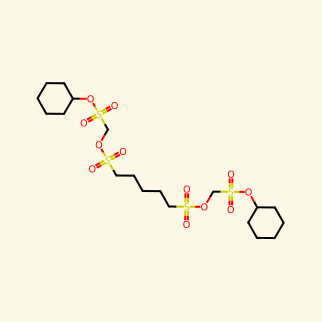 O=S(=O)(CCCCCS(=O)(=O)OCS(=O)(=O)OC1CCCCC1)OCS(=O)(=O)OC1CCCCC1